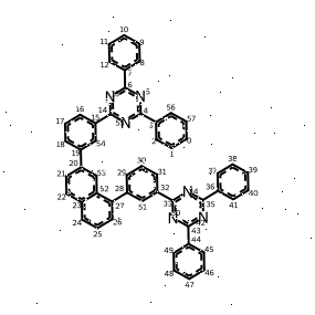 c1ccc(-c2nc(-c3ccccc3)nc(-c3cccc(-c4ccc5cccc(-c6cccc(-c7nc(-c8ccccc8)nc(-c8ccccc8)n7)c6)c5c4)c3)n2)cc1